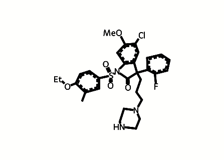 CCOc1ccc(S(=O)(=O)N2C(=O)C(CCCN3CCNCC3)(c3ccccc3F)c3cc(Cl)c(OC)cc32)cc1C